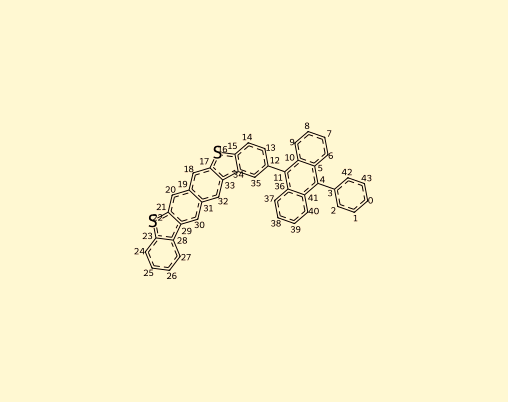 c1ccc(-c2c3ccccc3c(-c3ccc4sc5cc6cc7sc8ccccc8c7cc6cc5c4c3)c3ccccc23)cc1